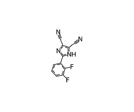 N#Cc1nc(-c2cccc(F)c2F)[nH]c1C#N